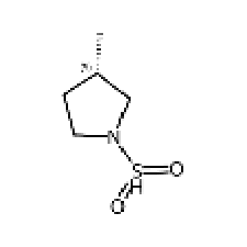 C[C@H]1CCN([SH](=O)=O)C1